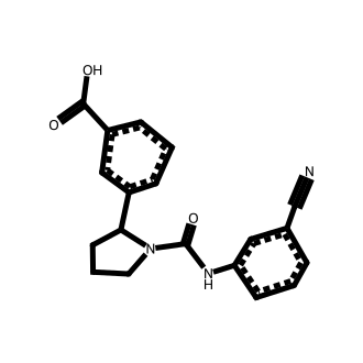 N#Cc1cccc(NC(=O)N2CCCC2c2cccc(C(=O)O)c2)c1